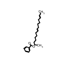 CC/C=C/CCCC/C=C/CCCCCC(C)OC(=O)c1ccccc1